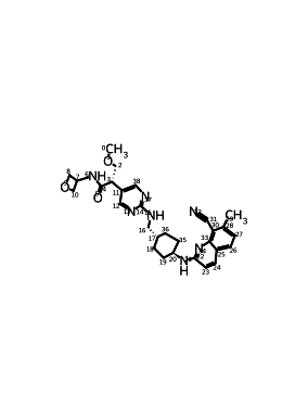 COC[C@@H](C(=O)NC1COC1)c1cnc(NC[C@H]2CC[C@H](Nc3ccc4ccc(C)c(C#N)c4n3)CC2)nc1